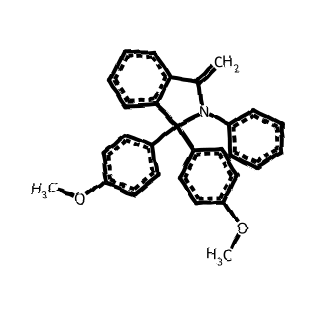 C=C1c2ccccc2C(c2ccc(OC)cc2)(c2ccc(OC)cc2)N1c1ccccc1